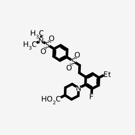 CCc1cc(F)c(N2CCC(C(=O)O)CC2)c(CCS(=O)(=O)c2ccc(S(=O)(=O)N(C)C)cc2)c1